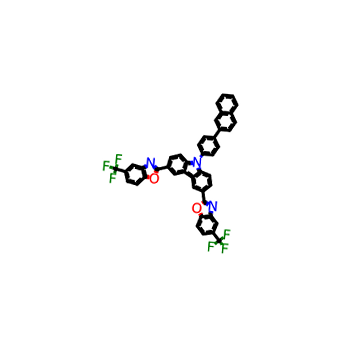 FC(F)(F)c1ccc2oc(-c3ccc4c(c3)c3cc(-c5nc6cc(C(F)(F)F)ccc6o5)ccc3n4-c3ccc(-c4ccc5ccccc5c4)cc3)nc2c1